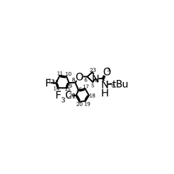 CC(C)(C)NC(=O)N1CC(OC(c2ccc(F)cc2)c2ccccc2C(F)(F)F)C1